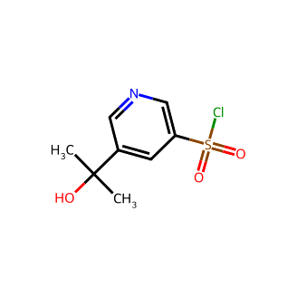 CC(C)(O)c1cncc(S(=O)(=O)Cl)c1